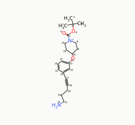 CC(C)(C)OC(=O)N1CCC(Oc2cccc(C#CCCCN)c2)CC1